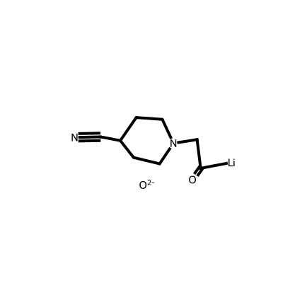 [Li][C](=O)CN1CCC(C#N)CC1.[O-2]